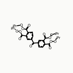 CC(C)OOC(=O)c1ccc(C(=O)c2ccc(C(=O)OOC(C)C)c(C(=O)OOC(C)C)c2)cc1C(=O)OOC(C)C